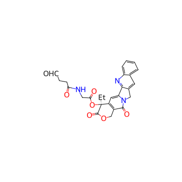 CC[C@@]1(OC(=O)CNC(=O)CCC=O)C(=O)OCc2c1cc1n(c2=O)Cc2cc3ccccc3nc2-1